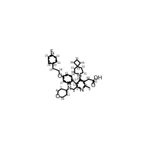 Cc1nc(CNC2CCOCC2)c(-c2ccc(OCCc3ccc(F)cc3)cc2)c(N2CCC3(CCC3)CC2)c1CC(=O)O